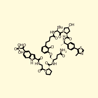 Cc1ncsc1-c1ccc([C@H](C)NC(=O)[C@@H]2C[C@@H](O)CN2C(=O)[C@@H](NC(=O)CCCc2cccc(OC[C@H](CCC(N)=O)NC(=O)[C@@H]3CCCN3C(=O)CNC(=O)c3cc4cc(C(=O)P(=O)(O)O)ccc4[nH]3)c2Cl)C(C)(C)C)cc1